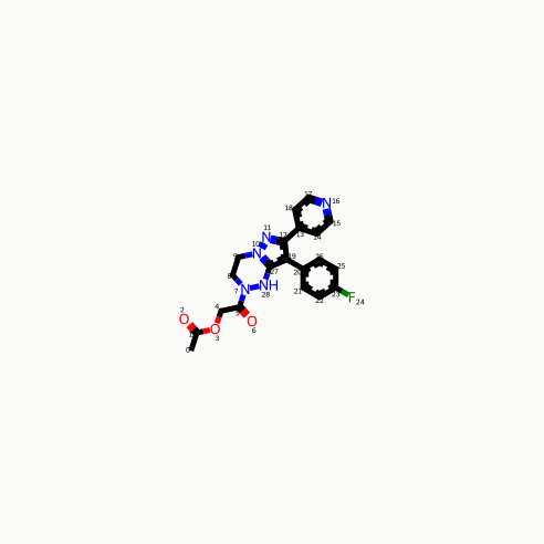 CC(=O)OCC(=O)N1CCn2nc(-c3ccncc3)c(-c3ccc(F)cc3)c2N1